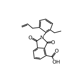 C=CCc1cccc(CC)c1N1C(=O)c2cccc(C(=O)O)c2C1=O